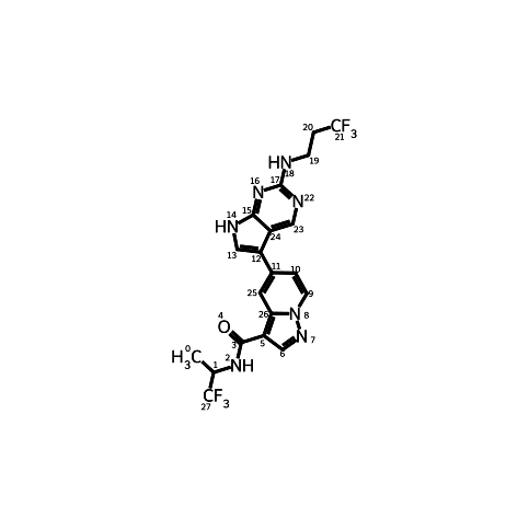 CC(NC(=O)c1cnn2ccc(-c3c[nH]c4nc(NCCC(F)(F)F)ncc34)cc12)C(F)(F)F